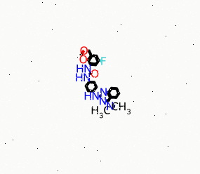 CN(C)c1nc(NC2CCC(NC(=O)Nc3cc(F)cc4c3OCOC4)CC2)nc2c1CCCC2